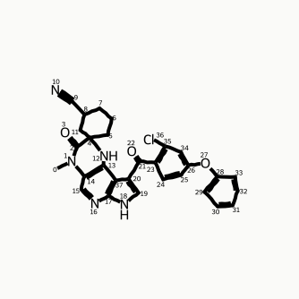 CN1C(=O)C2(CCCC(C#N)C2)Nc2c1cnc1[nH]cc(C(=O)c3ccc(Oc4ccccc4)cc3Cl)c21